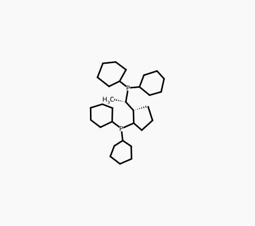 C[C@@H]([C@@H]1CCCC1P(C1CCCCC1)C1CCCCC1)P(C1CCCCC1)C1CCCCC1